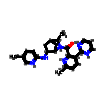 Cc1ccc(NC2CC3CC2N(C(=O)c2nc(C)ccc2-c2ncccn2)C3C)nc1